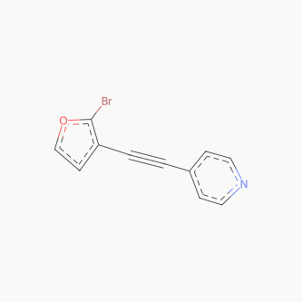 Brc1occc1C#Cc1ccncc1